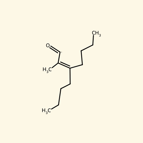 CCCCC(CCCC)=C(C)[C]=O